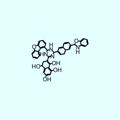 OC1=C(C2=NC(C3=CCC4C=C(C5Nc6ccccc6O5)C=CC4=C3)NC(c3cccc4oc5ccccc5c34)N2)CC(O)c2cc(O)cc(O)c21